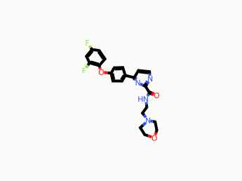 O=C(NCCN1CCOCC1)c1nccc(-c2ccc(Oc3ccc(F)cc3F)cc2)n1